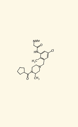 CNCC(=O)Nc1cc(Cl)cc(CN2CCN(C(=O)C3CCCC3)C(C)C2)c1C